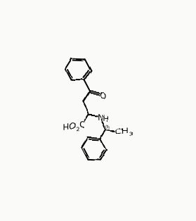 C[C@H](NC(CC(=O)c1ccccc1)C(=O)O)c1ccccc1